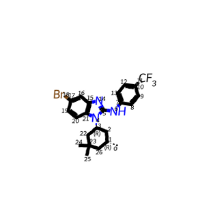 C[C@H]1C[C@@H](n2c(Nc3ccc(C(F)(F)F)cc3)nc3cc(Br)ccc32)CC(C)(C)C1